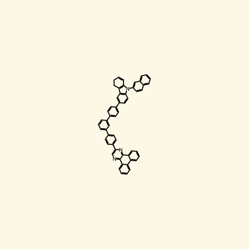 C1=Cc2c(c3cc(-c4ccc(-c5cccc(-c6ccc(-c7cnc8c9ccccc9c9ccccc9c8n7)cc6)c5)cc4)ccc3n2-c2ccc3ccccc3c2)CC1